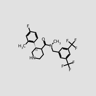 Cc1cc(F)ccc1[C@H]1CNCCC1C(=O)N(C)Cc1cc(C(F)(F)F)cc(C(F)(F)F)c1